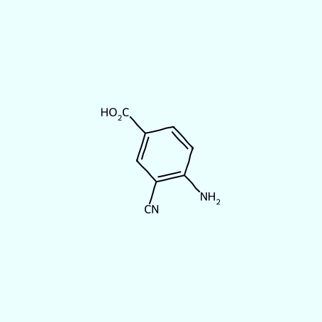 N#Cc1cc(C(=O)O)ccc1N